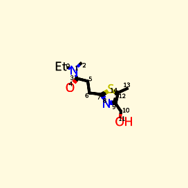 CCN(C)C(=O)CCc1nc(CO)c(C)s1